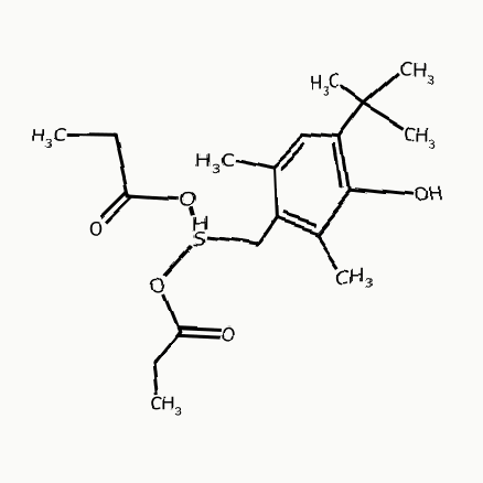 CCC(=O)O[SH](Cc1c(C)cc(C(C)(C)C)c(O)c1C)OC(=O)CC